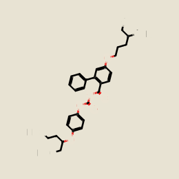 CCCC(CC)Oc1ccc(OC(=O)OC(=O)c2ccc(OCCCC(C)CC)cc2-c2ccccc2)cc1